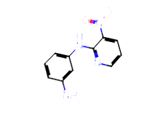 Nc1cccc(Nc2ncccc2[N+](=O)[O-])c1